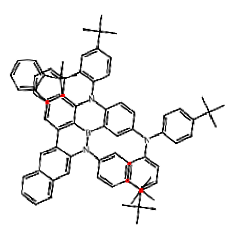 CC(C)(C)c1ccc(N2B3c4cc(N(c5ccc(C(C)(C)C)cc5)c5ccc(C(C)(C)C)cc5)ccc4N(c4ccc(C(C)(C)C)cc4-c4ccccc4)c4c3c(cc3c4C(C)(C)c4ccccc4-3)-c3cc4ccccc4cc32)cc1